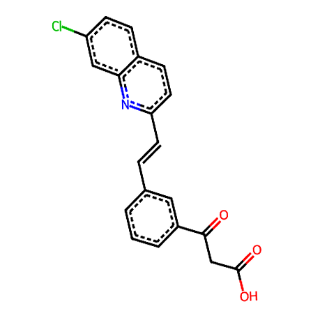 O=C(O)CC(=O)c1cccc(C=Cc2ccc3ccc(Cl)cc3n2)c1